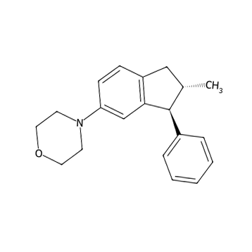 C[C@H]1Cc2ccc(N3CCOCC3)cc2[C@@H]1c1ccccc1